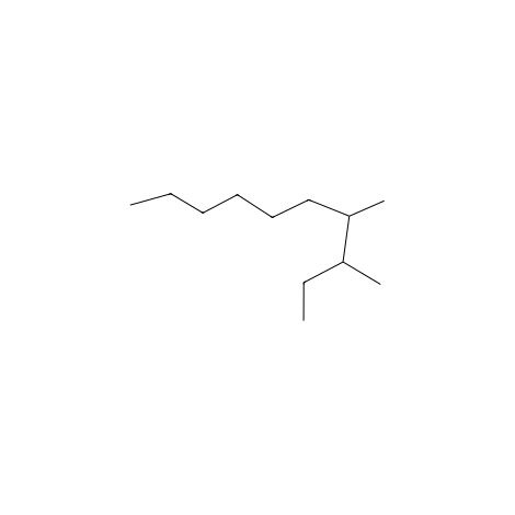 CCCCCCC(C)C(C)CC